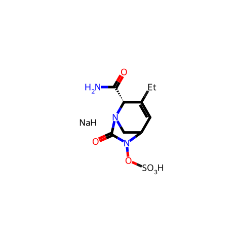 CCC1=CC2CN(C(=O)N2OS(=O)(=O)O)[C@@H]1C(N)=O.[NaH]